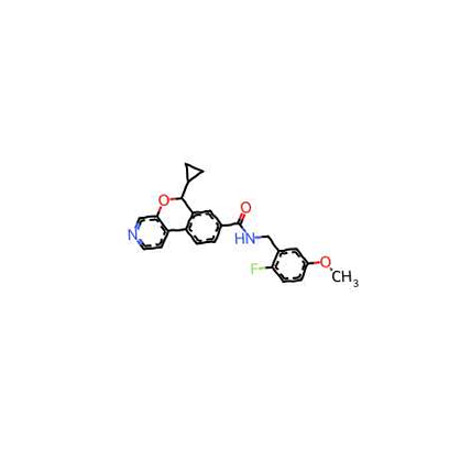 COc1ccc(F)c(CNC(=O)c2ccc3c(c2)C(C2CC2)Oc2cnccc2-3)c1